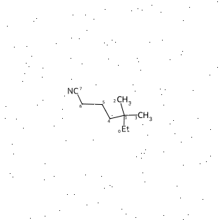 CCC(C)(C)CCCC#N